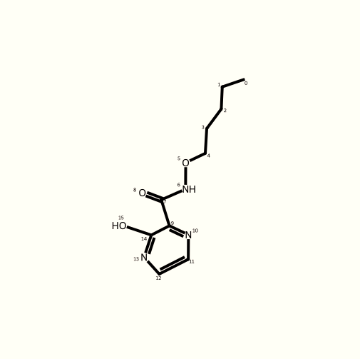 CCCCCONC(=O)c1nccnc1O